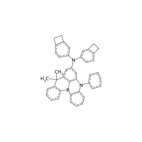 CC1(C)c2ccccc2B2c3ccccc3N(c3ccccc3)c3cc(N(c4ccc5c(c4)CC5)c4ccc5c(c4)CC5)cc1c32